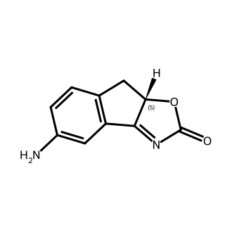 Nc1ccc2c(c1)C1=NC(=O)O[C@H]1C2